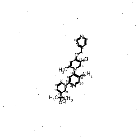 CC1=CC(OCc2ccncn2)=C(Cl)CN1c1cc(N2C=CC=C(C(C)(C)O)C2)ncc1C